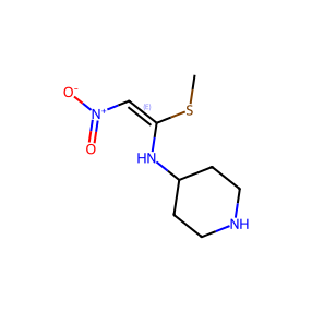 CS/C(=C/[N+](=O)[O-])NC1CCNCC1